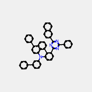 c1ccc(-c2cccc(N3c4cccc(-c5nc(-c6ccccc6)nc(-c6ccc7ccccc7c6)n5)c4-c4cccc5c(-c6ccccc6)ccc3c45)c2)cc1